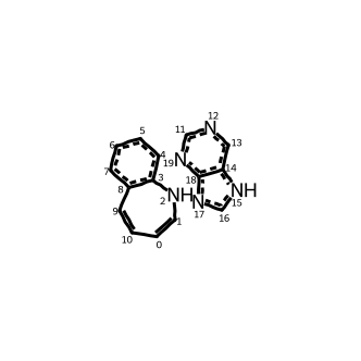 C1=CNc2ccccc2C=C1.c1ncc2[nH]cnc2n1